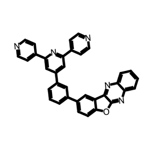 c1cc(-c2cc(-c3ccncc3)nc(-c3ccncc3)c2)cc(-c2ccc3oc4nc5ccccc5nc4c3c2)c1